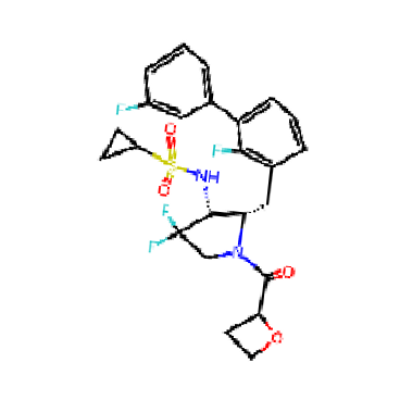 O=C(C1CCO1)N1CC(F)(F)[C@H](NS(=O)(=O)C2CC2)[C@@H]1Cc1cccc(-c2cccc(F)c2)c1F